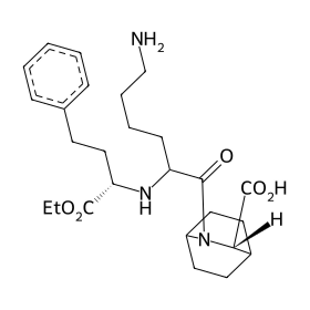 CCOC(=O)[C@H](CCc1ccccc1)NC(CCCCN)C(=O)N1C2CCC(CC2)[C@H]1C(=O)O